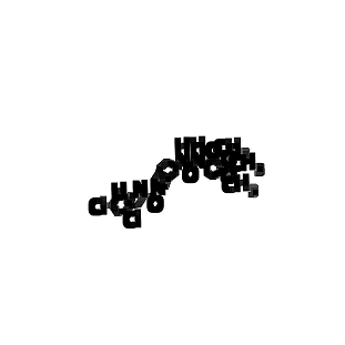 COc1ccc(NC(=O)Nc2ccc3c(c2)CN(C(=O)C(N)Cc2ccc(Cl)cc2Cl)C3)c(OC)c1OC